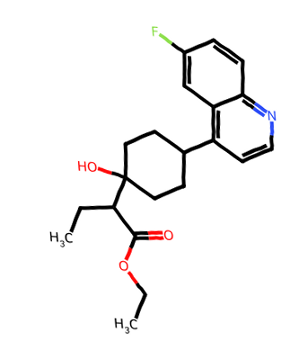 CCOC(=O)C(CC)C1(O)CCC(c2ccnc3ccc(F)cc23)CC1